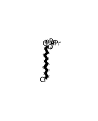 CCCOC(CCCCC/C=C/CCCCl)OCCC